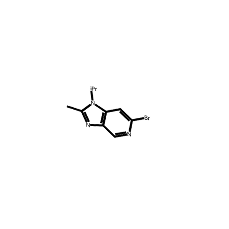 Cc1nc2cnc(Br)cc2n1C(C)C